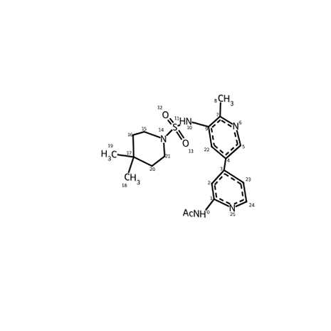 CC(=O)Nc1cc(-c2cnc(C)c(NS(=O)(=O)N3CCC(C)(C)CC3)c2)ccn1